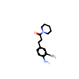 Nc1ccc(CCC(=O)N2CCCCC2)cc1[N+](=O)[O-]